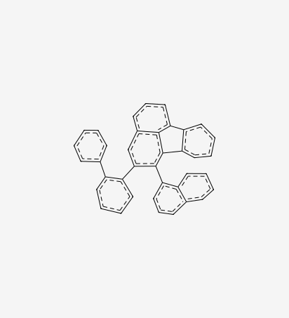 c1ccc(-c2ccccc2-c2cc3cccc4c3c(c2-c2cccc3ccccc23)-c2ccccc2-4)cc1